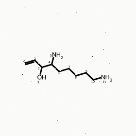 C=CC(O)C(N)CCCCCN